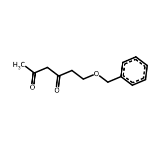 CC(=O)CC(=O)CCOCc1ccccc1